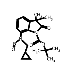 CC(C)(C)OC(=O)N1C(=O)C(C)(C)c2cccc(N(CC3CC3)N=O)c21